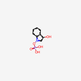 O=P(O)(O)On1cc(O)c2ccccc21